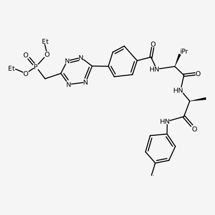 [CH2]c1ccc(NC(=O)[C@H](C)NC(=O)[C@@H](NC(=O)c2ccc(-c3nnc(CP(=O)(OCC)OCC)nn3)cc2)C(C)C)cc1